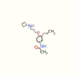 C=CCc1cc(NC(C)=O)ccc1OCCCNC1CCC1